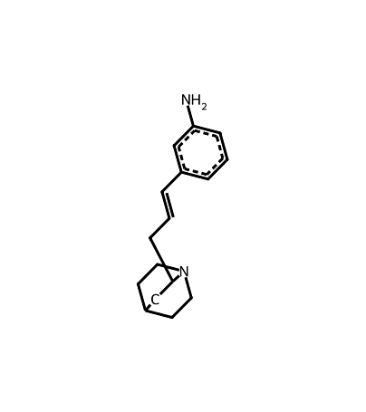 Nc1cccc(C=CCC2CC3CCN2CC3)c1